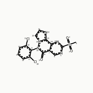 CS(=O)(=O)c1ncc2c(=O)n(-c3c(Cl)cccc3Cl)n3ccnc3c2n1